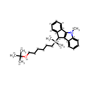 Cn1c2c(c3ccccc31)C([Si](C)(C)CCCCCCOC(C)(C)C)c1ccccc1-2